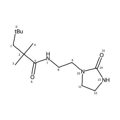 CC(C)(C)CC(C)(C)C(=O)NCCN1CCNC1=O